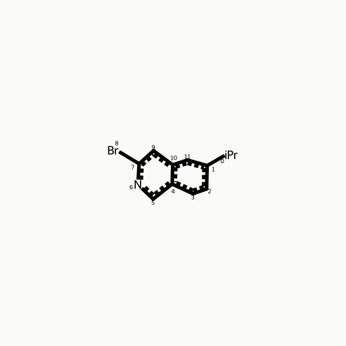 CC(C)c1ccc2cnc(Br)cc2c1